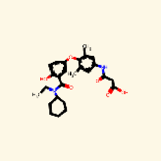 CCN(C(=O)c1cc(Oc2c(C)cc(NC(=O)CC(=O)O)cc2C)ccc1O)C1CCCCC1